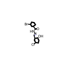 O=C(N/N=C/c1cc(Cl)ccc1O)c1cccc(Br)c1